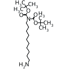 CC(C)(C)OC(=O)N(CCCCCCCCCCN)C(=O)OC(C)(C)C